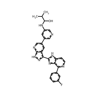 CC(C)C(O)Nc1cncc(-c2cnc3[nH]nc(-c4nc5c(-c6cccc(F)c6)nccc5[nH]4)c3c2)c1